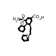 NS(=O)(=O)c1cc(C(=O)O)cc(CCCn2cccc2)c1-c1ccccc1